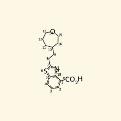 O=C(O)c1cccc2sc(CCC3CCCOCC3)nc12